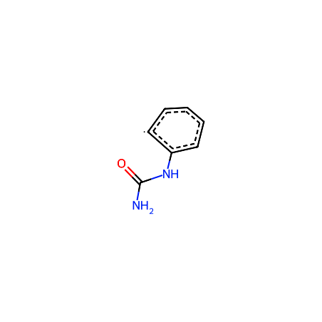 NC(=O)Nc1[c]cccc1